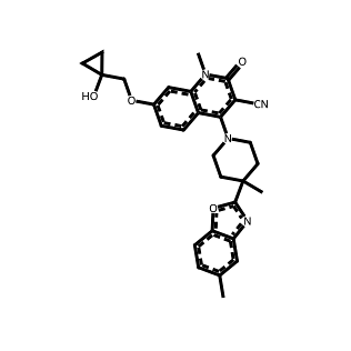 Cc1ccc2oc(C3(C)CCN(c4c(C#N)c(=O)n(C)c5cc(OCC6(O)CC6)ccc45)CC3)nc2c1